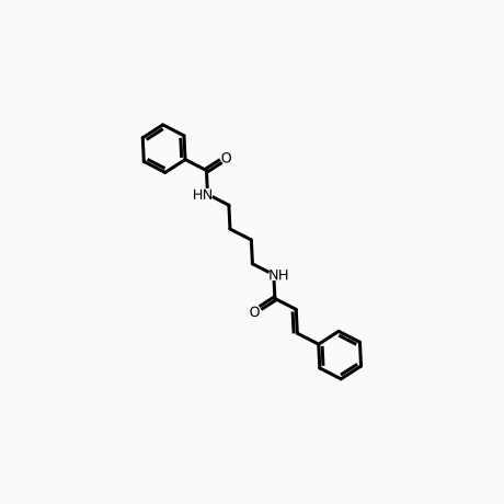 O=C(C=Cc1ccccc1)NCCCCNC(=O)c1ccccc1